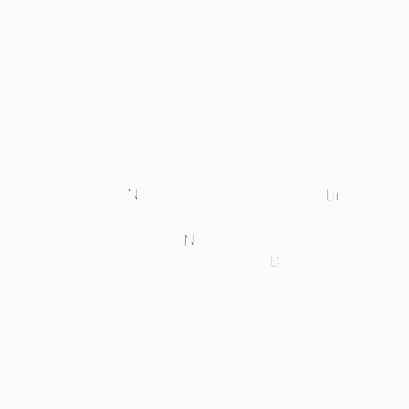 Brc1ccc2c(c1Br)N=C1CCCN1C2